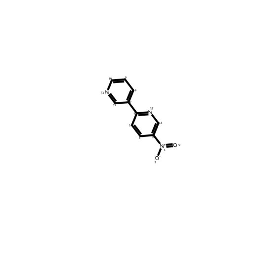 O=[N+]([O-])c1ccc(-c2cccnc2)nc1